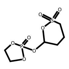 O=P1(OC2CCCS(=O)(=O)O2)OCCO1